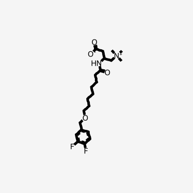 C[N+](C)(C)CC(CC(=O)[O-])NC(=O)CCCCCCCOCc1ccc(F)c(F)c1